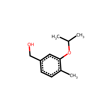 Cc1ccc(CO)cc1OC(C)C